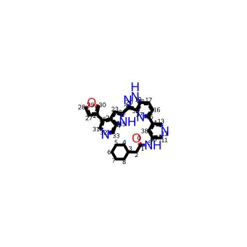 O=C(CC1CCCCC1)Nc1cncc(-c2ccc3[nH]nc(-c4cc5c(-c6ccoc6)cncc5[nH]4)c3n2)c1